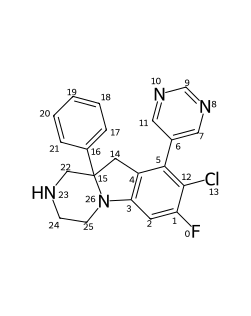 Fc1cc2c(c(-c3cncnc3)c1Cl)CC1(c3ccccc3)CNCCN21